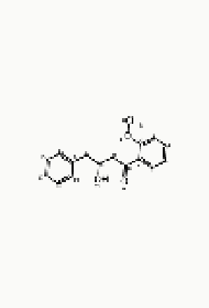 COc1ccccc1C(=O)CC(O)Cc1ccccc1